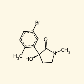 Cc1ccc(Br)cc1[C@@]1(O)CCN(C)C1=O